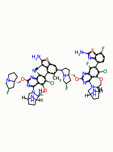 Cc1c(C2CC[C@@]3(COc4nc5c6c(c(Cl)c(-c7ccc(F)c8sc(N)nc78)c(F)c6n4)OC[C@@H]4[C@@H]6CC[C@H](CN54)N6)C[C@@H](F)CN23)cc2sc(N)c(C#N)c2c1-c1c(Cl)c2c3c(nc(OC[C@@]45CCCN4C[C@H](F)C5)nc3c1F)N1C[C@H]3CC[C@H](N3)[C@H]1CO2